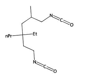 CCCC(CC)(CCN=C=O)CC(C)CN=C=O